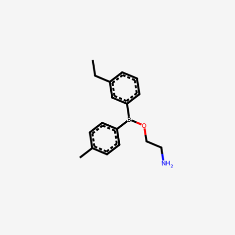 CCc1cccc(B(OCCN)c2ccc(C)cc2)c1